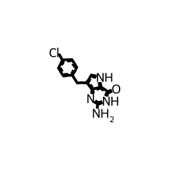 Nc1nc2c(Cc3ccc(Cl)cc3)c[nH]c2c(=O)[nH]1